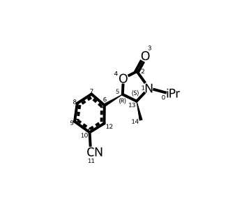 CC(C)N1C(=O)O[C@H](c2cccc(C#N)c2)[C@@H]1C